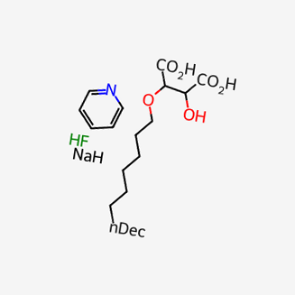 CCCCCCCCCCCCCCCCOC(C(=O)O)C(O)C(=O)O.F.[NaH].c1ccncc1